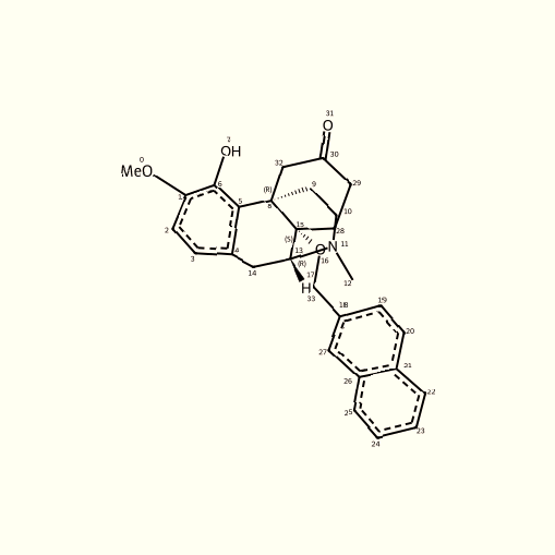 COc1ccc2c(c1O)[C@]13CCN(C)[C@H](C2)[C@]1(OCc1ccc2ccccc2c1)CCC(=O)C3